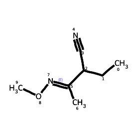 CCC(C#N)/C(C)=N/OC